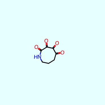 O=C1CCCNC(=O)C(=O)C1=O